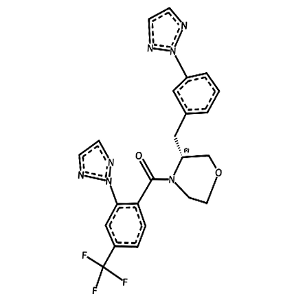 O=C(c1ccc(C(F)(F)F)cc1-n1nccn1)N1CCOC[C@H]1Cc1cccc(-n2nccn2)c1